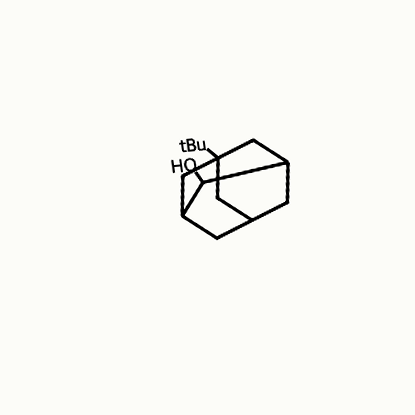 CC(C)(C)C12CC3CC(C1)C(O)C(C3)C2